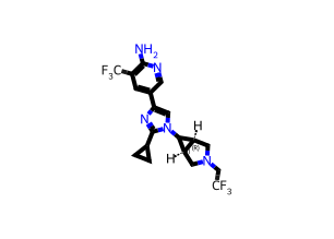 Nc1ncc(-c2cn(C3[C@H]4CN(CC(F)(F)F)C[C@@H]34)c(C3CC3)n2)cc1C(F)(F)F